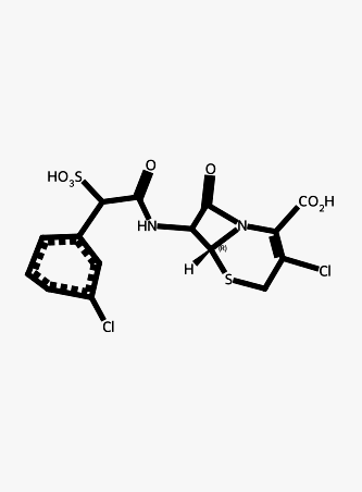 O=C(O)C1=C(Cl)CS[C@@H]2C(NC(=O)C(c3cccc(Cl)c3)S(=O)(=O)O)C(=O)N12